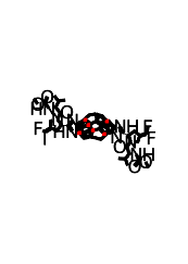 COC(=O)N[C@H](C(=O)N1CC(=C(F)F)C[C@H]1c1nc2cc(-c3cc4ccc3CCc3ccc(c(-c5ccc6[nH]c([C@@H]7C/C(=C(/F)I)CN7C(=O)[C@@H](NC(=O)OC)C(C)C)nc6c5)c3)CC4)ccc2[nH]1)C(C)C